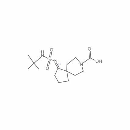 CC(C)(C)NS(=O)(=O)/N=C1\CCCC12CCN(C(=O)O)CC2